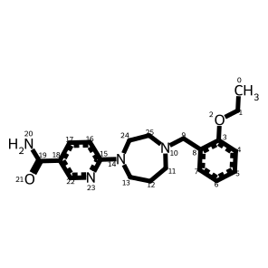 CCOc1ccccc1CN1CCCN(c2ccc(C(N)=O)cn2)CC1